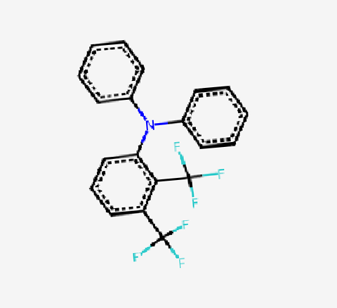 FC(F)(F)c1cccc(N(c2ccccc2)c2ccccc2)c1C(F)(F)F